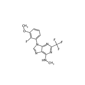 CNc1nc(C(F)(F)F)nc2c1ncn2-c1cccc(OC)c1F